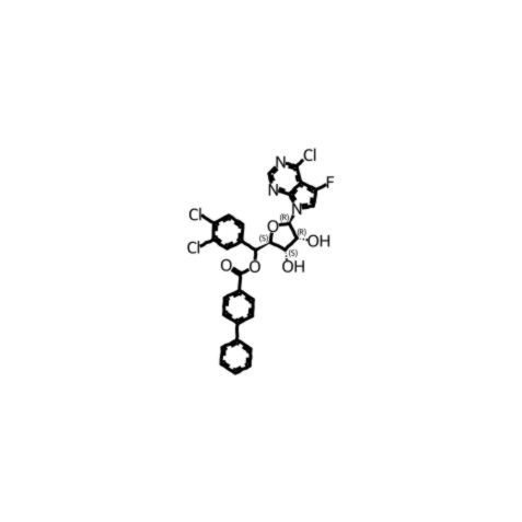 O=C(OC(c1ccc(Cl)c(Cl)c1)[C@H]1O[C@@H](n2cc(F)c3c(Cl)ncnc32)[C@H](O)[C@@H]1O)c1ccc(-c2ccccc2)cc1